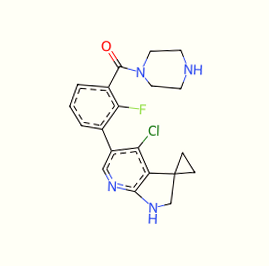 O=C(c1cccc(-c2cnc3c(c2Cl)C2(CC2)CN3)c1F)N1CCNCC1